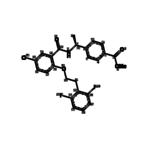 COC(=O)c1ccc([C@H](C)NC(=O)c2cc(Cl)ccc2OCCc2c(F)cccc2F)cc1